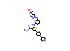 CC(C)(O)c1cn(Cc2cccc(Nc3sc(-c4ccc(-c5ccncc5)cc4)cc3C(N)=O)n2)nn1